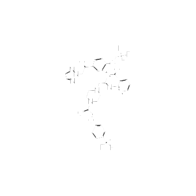 O=C(Cn1nccn1)c1ccc(OCC(F)(F)F)c(-n2c(CN3CCN(C(=O)COc4ccc(C(F)(F)F)cc4)CC3)nc3ncccc3c2=O)c1